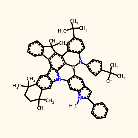 Cn1c(-c2ccccc2)cc2cc3c(cc21)-n1c2cc4c(cc2c2c5c(c6c(c21)B3N(c1ccc(C(C)(C)C)cc1)c1ccc(C(C)(C)C)cc1-6)C(C)(C)c1ccccc1-5)C(C)(C)CCC4(C)C